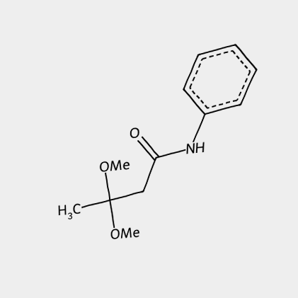 COC(C)(CC(=O)Nc1ccccc1)OC